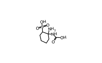 NC1(NC(=O)O)CCCCC1S(=O)(=O)O